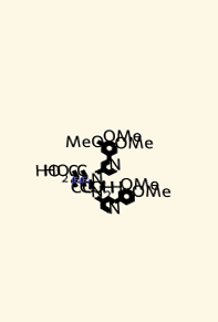 COc1ccc(-c2cc(CN3CCN(Cc4ccnc(-c5cc(OC)c(OC)c(OC)c5)c4)CC3)ccn2)cc1OC.O=C(O)/C=C/C(=O)O.O=C(O)/C=C/C(=O)O